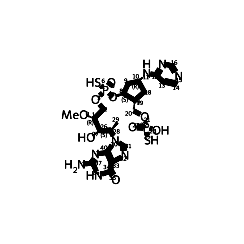 CO[C@H](COP(=O)(S)O[C@H]1C[C@H](Nc2ccncn2)C[C@@H]1COP(=O)(O)S)[C@@H](O)[C@@H](C)n1cnc2c(=O)[nH]c(N)nc21